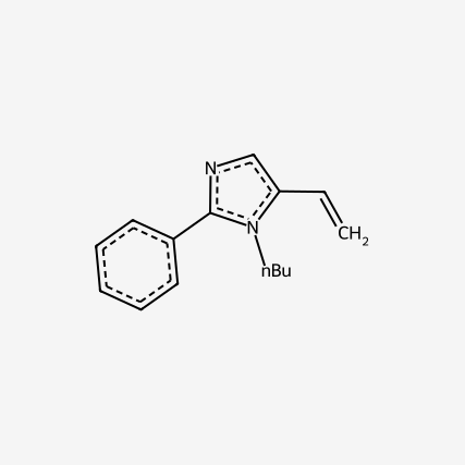 C=Cc1cnc(-c2ccccc2)n1CCCC